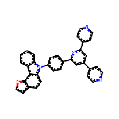 c1ccc2c(c1)c1c3occc3ccc1n2-c1ccc(-c2cc(-c3ccncc3)cc(-c3ccncc3)n2)cc1